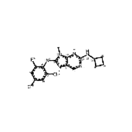 Cn1c(Nc2c(F)cc(Cl)cc2Cl)nc2cnc(NC3CCC3)nc21